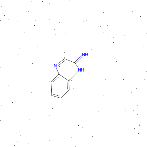 N=c1[c]nc2ccccc2[nH]1